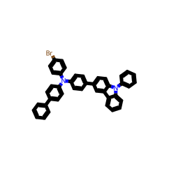 Brc1ccc(N(c2ccc(-c3ccccc3)cc2)c2ccc(-c3ccc4c(c3)c3ccccc3n4-c3ccccc3)cc2)cc1